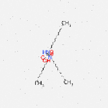 CCCCCCCCCCCCCCCCCC(=O)N[C@@H](CCC(=O)O)C(=O)N(CCCCCCCCCCCCCCCC)CCCCCCCCCCCCCCCC